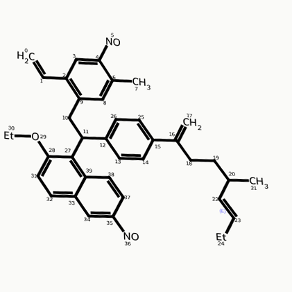 C=Cc1cc(N=O)c(C)cc1CC(c1ccc(C(=C)CCC(C)/C=C/CC)cc1)c1c(OCC)ccc2cc(N=O)ccc12